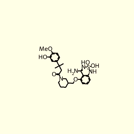 COc1ccc(C(C)(C)CC(=O)N2CCCC(COc3cccc4c3C(N)=NS(O)(O)N4)C2)cc1O